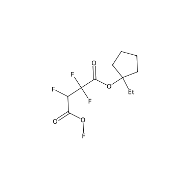 CCC1(OC(=O)C(F)(F)C(F)C(=O)OF)CCCC1